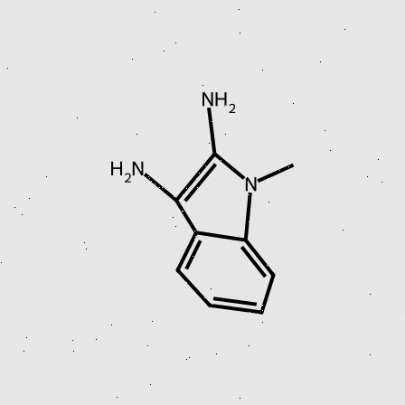 Cn1c(N)c(N)c2ccccc21